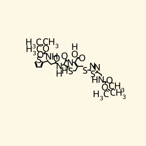 CC(C)(C)OC(=O)NCc1nnc(SCC2=C(C(=O)O)N3C(=O)C(NC(=O)CC(NC(=O)OC(C)(C)C)c4cccs4)[C@@H]3SC2)s1